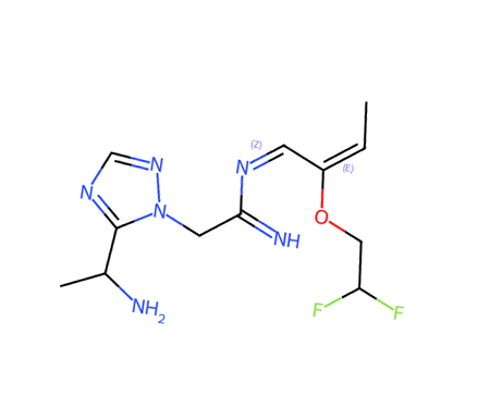 C/C=C(\C=N/C(=N)Cn1ncnc1C(C)N)OCC(F)F